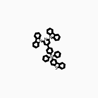 c1ccc([Si](c2ccccc2)(c2ccc(-c3cc(-n4c5ccccc5c5ccccc54)nc(-n4c5ccccc5c5ccccc54)c3)cc2)c2ccc3sc4ccccc4c3c2)cc1